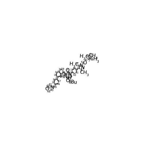 Cc1nn(COCC[Si](C)(C)C)c(C)c1-c1ccc(NC(=O)[C@@H](NC(=O)OC(C)(C)C)[C@@H]2CCc3ccc(-c4ccc(CN5CCOCC5)cc4)cc32)cc1